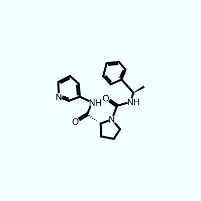 C[C@@H](NC(=O)N1CCC[C@@H]1C(=O)Nc1cccnc1)c1ccccc1